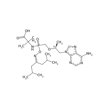 CC(C)CC(CC(C)C)=NOP(=O)(CO[C@@H](C)Cn1cnc2c(N)ncnc21)NC(C)(C)C(=O)O